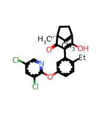 CCc1ccc(Oc2ncc(Cl)cc2Cl)cc1C1=C(O)C2=C(C)[C@](C)(CC2)C1=O